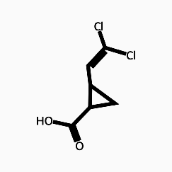 O=C(O)C1CC1C=C(Cl)Cl